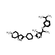 CC(C)c1cccc(OC(C)c2nnc([C@H]3CC[C@H](C4=NOC5(CCN(C)CC5)C4)CC3)n2C)c1